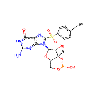 CC(C)c1ccc(S(=O)(=O)c2nc3c(=O)[nH]c(N)nc3n2[C@@H]2OC3COP(O)O[C@H]3C2O)cc1